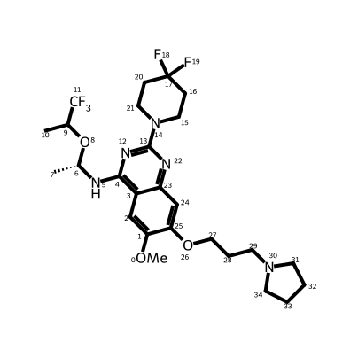 COc1cc2c(N[C@H](C)OC(C)C(F)(F)F)nc(N3CCC(F)(F)CC3)nc2cc1OCCCN1CCCC1